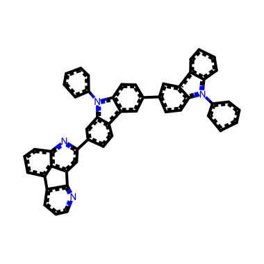 c1ccc(-n2c3ccccc3c3cc(-c4ccc5c(c4)c4ccc(-c6cc7c8c(cccc8n6)-c6cccnc6-7)cc4n5-c4ccccc4)ccc32)cc1